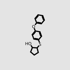 OC1CCCC1Sc1ccc(Oc2ccccc2)cc1